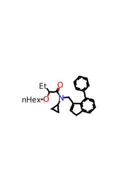 CCCCCCOC(CC)C(=O)N(CC1=CCc2cccc(-c3ccccc3)c21)C1CC1